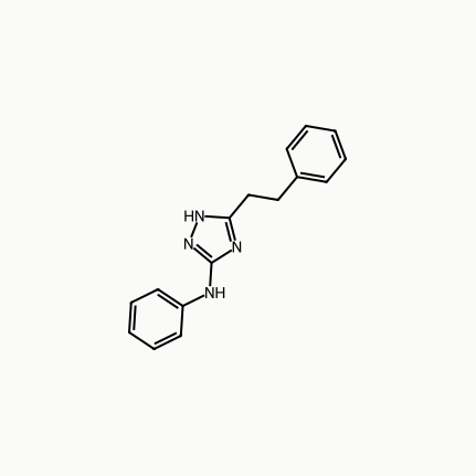 c1ccc(CCc2nc(Nc3ccccc3)n[nH]2)cc1